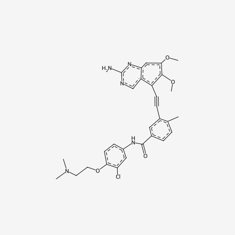 COc1cc2nc(N)ncc2c(C#Cc2cc(C(=O)Nc3ccc(OCCN(C)C)c(Cl)c3)ccc2C)c1OC